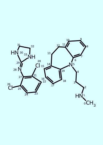 CNCCCN1c2ccccc2CCc2ccccc21.Clc1cccc(Cl)c1N=C1NCCN1